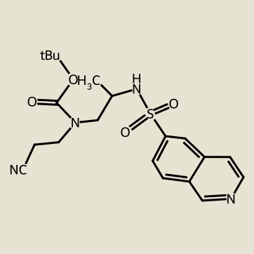 CC(CN(CCC#N)C(=O)OC(C)(C)C)NS(=O)(=O)c1ccc2cnccc2c1